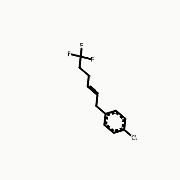 FC(F)(F)CCC=CCc1ccc(Cl)cc1